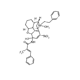 C[N+]1(CCc2ccccc2)CC[C@@]23C4=C5C[C@@H]1[C@@H]2CCC[C@@H]3OC4C(O)(NC(=O)C(=Cc1ccccc1)C(F)(F)F)C=C5[N+](=O)[O-]